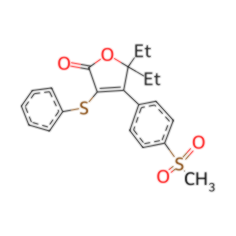 CCC1(CC)OC(=O)C(Sc2ccccc2)=C1c1ccc(S(C)(=O)=O)cc1